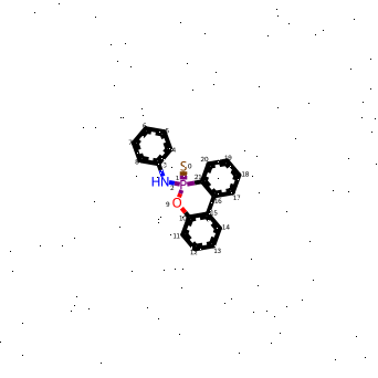 S=P1(Nc2ccccc2)Oc2ccccc2-c2ccccc21